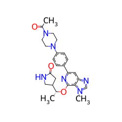 CC(=O)N1CCN(c2ccc(-c3cc4ncn(C)c4c(O[C@H](C)C4CNC(=O)C4)n3)cc2)CC1